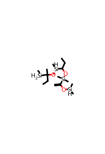 C=C(O[SiH](C)C)[Si](C)(C)OC(CC)[SiH](C)OC(C)(CC)[SiH2]C